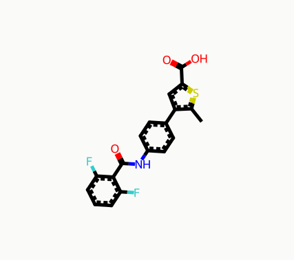 Cc1sc(C(=O)O)cc1-c1ccc(NC(=O)c2c(F)cccc2F)cc1